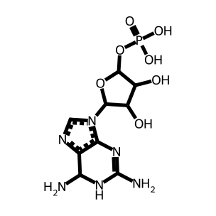 NC1=Nc2c(ncn2C2OC(OP(=O)(O)O)C(O)C2O)C(N)N1